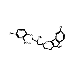 CC(=O)Nc1cc(F)ccc1OCC(O)CN1CCc2[nH]c3ccc(Cl)cc3c2C1